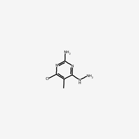 Cc1c(Cl)nc(N)nc1NN